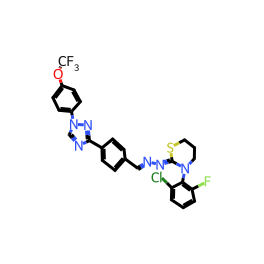 Fc1cccc(Cl)c1N1CCCS/C1=N\N=C\c1ccc(-c2ncn(-c3ccc(OC(F)(F)F)cc3)n2)cc1